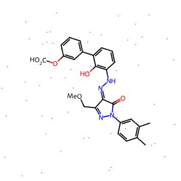 COCC1=NN(c2ccc(C)c(C)c2)C(=O)C1=NNc1cccc(-c2cccc(OC(=O)O)c2)c1O